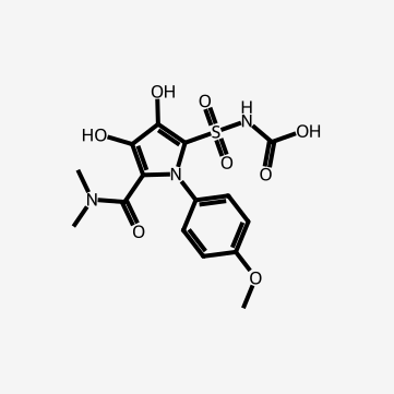 COc1ccc(-n2c(C(=O)N(C)C)c(O)c(O)c2S(=O)(=O)NC(=O)O)cc1